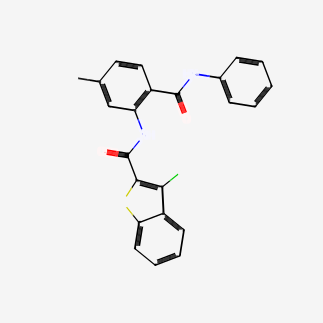 O=C(O)c1ccc(C(=O)Nc2ccccc2)c(NC(=O)c2sc3ccccc3c2Cl)c1